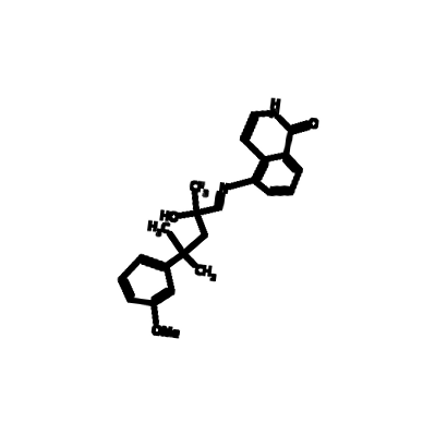 COc1cccc(C(C)(C)CC(O)(C=Nc2cccc3c(=O)[nH]ccc23)C(F)(F)F)c1